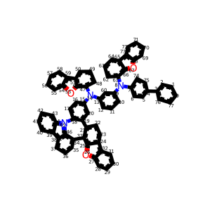 c1ccc(-c2ccc(N(c3cccc(N(c4ccc5c(c4)-c4ccc6c(oc7ccccc76)c4-c4cccc6c7ccccc7n-5c46)c4cccc5c4oc4ccccc45)c3)c3cccc4c3oc3ccccc34)cc2)cc1